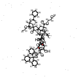 [C-]#[N+]C(C)(CCC(=O)O)CC(C)(CC(C)(CC(C)(CC(C)(SC(=S)c1ccccc1)C(=O)OCC)C(=O)OCNC(=C)NC(=O)OC(C)(C)C)C(=O)OCCOc1ccc(C(=O)NOC(c2ccccc2)(c2ccccc2)c2ccccc2)c(O)c1)C(=O)OCCOC